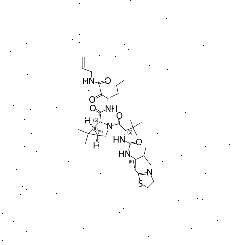 C=CCNC(=O)C(=O)C(CCC)NC(=O)[C@@H]1[C@@H]2[C@H](CN1C(=O)[C@@H](NC(=O)N[C@H](CC1=NCCS1)C(C)C)C(C)(C)C)C2(C)C